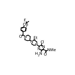 CC[C@H]1CN(c2nc(N)c(C(=O)NC)nc2Cl)CCN1C1CCN(C(=O)c2ccc(OC(C)(F)F)cc2)CC1